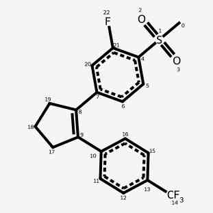 CS(=O)(=O)c1ccc(C2=C(c3ccc(C(F)(F)F)cc3)CCC2)cc1F